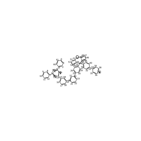 c1ccc(-c2nc(-c3ccccc3)nc(-c3cccc(-c4cccc(-c5ccc6c(c5)-c5cc(-c7ccncc7)ccc5C65c6ccccc6Oc6ccccc65)c4)c3)n2)cc1